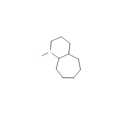 CN1CCCC2CCCCCC21